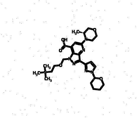 C[C@@H]1COCCN1c1cc(C(=O)O)c2c(n1)c(-c1ccn(C3CCCCO3)n1)nn2COCCS(C)(C)C